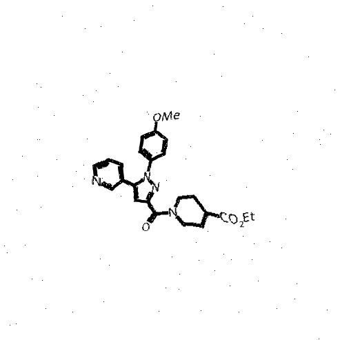 CCOC(=O)C1CCN(C(=O)c2cc(-c3cccnc3)n(-c3ccc(OC)cc3)n2)CC1